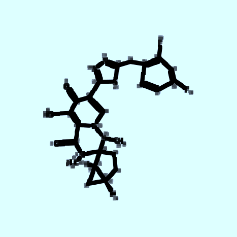 CN1C(=O)c2c(O)c(=O)c(-c3nnc(Cc4ccc(F)cc4F)s3)cn2N(C)C12CC[C@@H]1C[C@@H]12